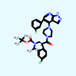 CC(C)N(C[C@@H](C(=O)N1CCN(c2c(-c3cccc(F)c3)cnc3[nH]ncc23)CC1)c1ccc(Cl)cc1)C(=O)OC(C)(C)C